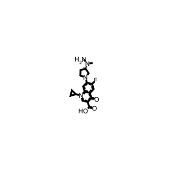 CN(N)[C@@H]1CCN(c2cc3c(cc2F)c(=O)c(C(=O)O)cn3C2CC2)C1